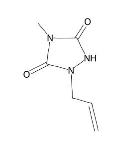 C=CCn1[nH]c(=O)n(C)c1=O